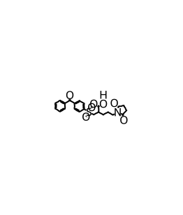 O=C(c1ccccc1)c1ccc(S(=O)(=O)CC(CCCN2C(=O)CCC2=O)C(=O)O)cc1